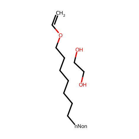 C=COCCCCCCCCCCCCCCCC.OCCO